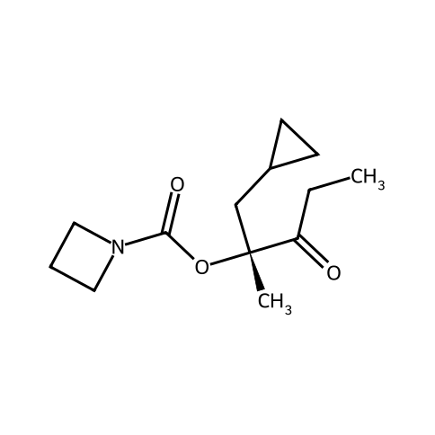 CCC(=O)[C@@](C)(CC1CC1)OC(=O)N1CCC1